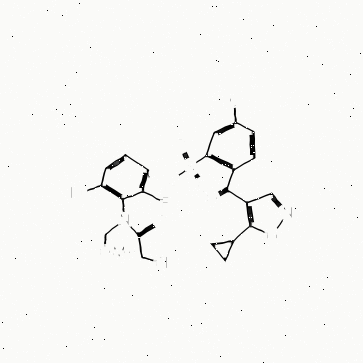 CCc1cccc(CC)c1N(COC)C(=O)CCl.CS(=O)(=O)c1cc(C(F)(F)F)ccc1C(=O)c1cnoc1C1CC1